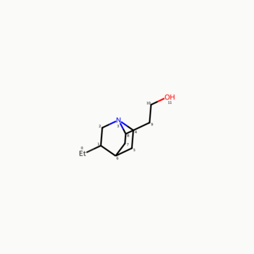 CCC1CN2CCC1CC2CCO